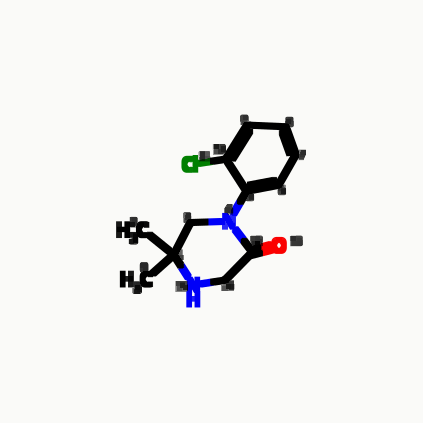 CC1(C)CN(c2ccccc2Cl)C(=O)CN1